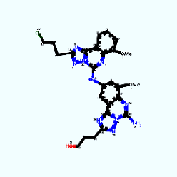 COc1cc(Nc2nc3c(OC)cccc3c3nc(CCCCl)nn23)cc2c1nc(N)n1nc(CCCO)nc21